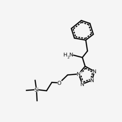 C[Si](C)(C)CCOCn1nnnc1C(N)Cc1ccccc1